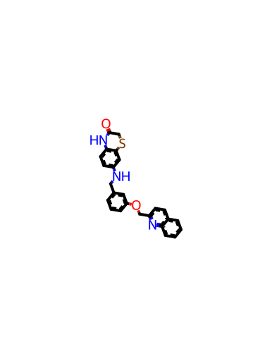 O=C1CSc2cc(NCc3cccc(OCc4ccc5ccccc5n4)c3)ccc2N1